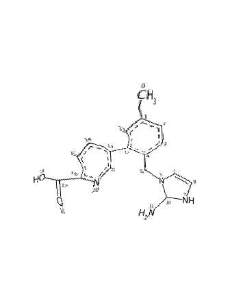 Cc1ccc(CN2C=CNC2N)c(-c2ccc(C(=O)O)nc2)c1